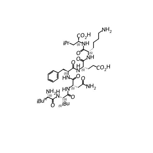 CC[C@H](C)[C@H](N)C(=O)N[C@H](C(=O)N[C@@H](CC(N)=O)C(=O)N[C@@H](Cc1ccccc1)C(=O)N[C@@H](CCC(=O)O)C(=O)N[C@@H](CCCCN)C(=O)N[C@@H](CC(C)C)C(=O)O)[C@@H](C)CC